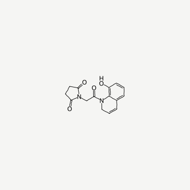 O=C1CCC(=O)N1CC(=O)N1CC=Cc2cccc(O)c21